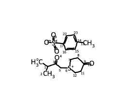 CC(C)C(=O)C[S+]1CCC(=O)CC1.Cc1ccc(S(=O)(=O)[O-])cc1